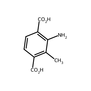 Cc1c(C(=O)O)ccc(C(=O)O)c1N